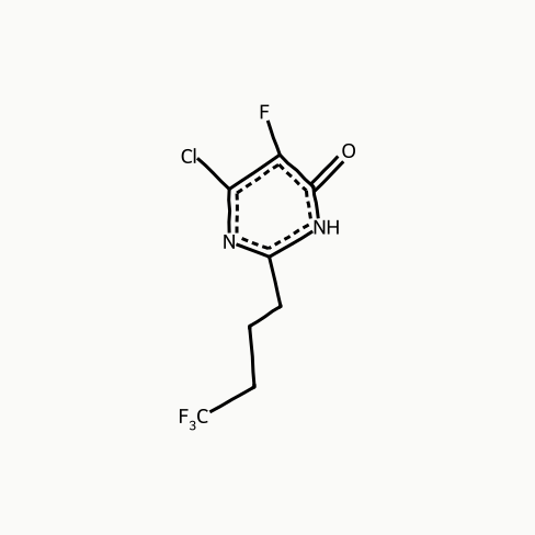 O=c1[nH]c(CCCC(F)(F)F)nc(Cl)c1F